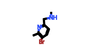 CNCc1ccc(Br)c(C)n1